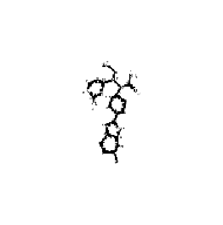 Cc1ccc2nc(-c3ccc(N(C(N)=O)N(CC(C)(C)C)c4ccnc(C#N)n4)cc3)sc2c1